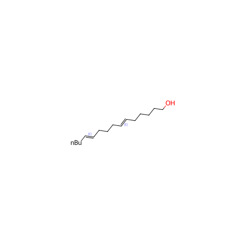 CCCC/C=C/CCC/C=C/CCCCCO